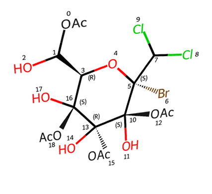 CC(=O)OC(O)[C@H]1O[C@@](Br)(C(Cl)Cl)[C@@](O)(OC(C)=O)[C@](O)(OC(C)=O)[C@@]1(O)OC(C)=O